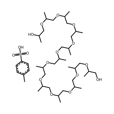 CC(O)COC(C)COC(C)COC(C)COC(C)COC(C)COC(C)COC(C)COC(C)COC(C)COC(C)COC(C)CO.Cc1ccc(S(=O)(=O)O)cc1